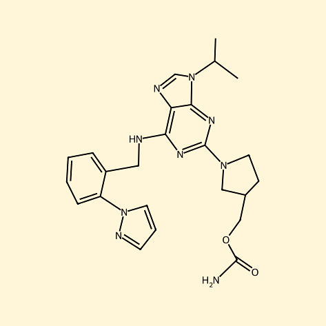 CC(C)n1cnc2c(NCc3ccccc3-n3cccn3)nc(N3CCC(COC(N)=O)C3)nc21